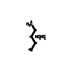 CCC[CH2][In].Cl.Cl